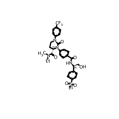 CCN(C)C(=O)[C@@H]1CCN(c2ccc(C(F)(F)F)cc2)C(=O)N1c1ccc(C(=O)N[C@@H](CO)c2ccc(S(=O)(=O)CC)cc2)cc1